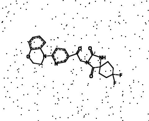 O=C(CN1C(=O)NC2(CCC(F)(F)CC2)C1=O)c1ccc(N2CCOc3ccccc32)nc1